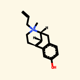 C=CC[N+]1(C)CC[C@]23CCCC[C@H]2[C@H]1Cc1ccc(O)cc13